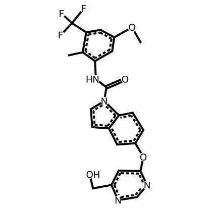 COc1cc(NC(=O)n2ccc3cc(Oc4cc(CO)ncn4)ccc32)c(C)c(C(F)(F)F)c1